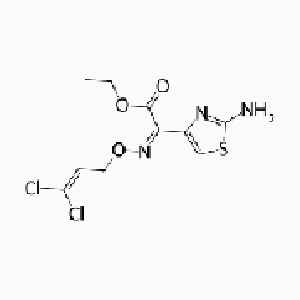 CCOC(=O)/C(=N\OCC=C(Cl)Cl)c1csc(N)n1